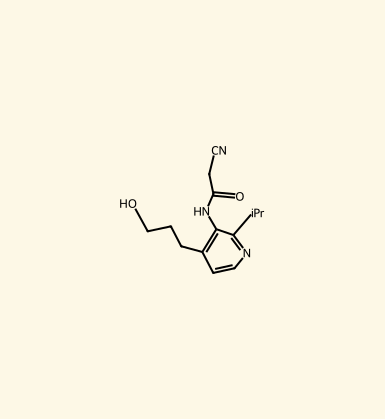 CC(C)c1nccc(CCCO)c1NC(=O)CC#N